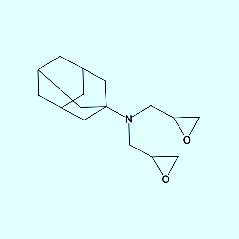 C1C2CC3CC1CC(N(CC1CO1)CC1CO1)(C2)C3